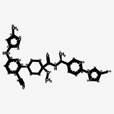 CO[C@]1(C(=O)N[C@@H](C)c2ccc(-n3cc(F)cn3)nc2)CC[C@H](c2nc(Nc3cc(C)on3)ccc2C#N)CC1